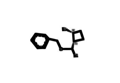 CCC(OCc1ccccc1)[C@H]1CC[C@H]1CC